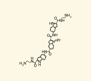 CCCn1c(C(=O)Nc2ccc3[nH]c(C(=O)NCCN)cc3c2)cc2cc(C(=O)Nc3ccc4[nH]c(C(=O)NCCN)cc4c3)ccc21